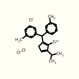 Cc1cccc(C(C2=[C]([Ti+3])C(C(C)C)=CC2)c2cccc(C)c2)c1.[Cl-].[Cl-].[Cl-]